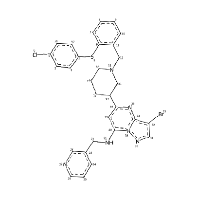 Clc1ccc(Sc2ccccc2CN2CCCC(c3cc(NCc4cccnc4)n4ncc(Br)c4n3)C2)cc1